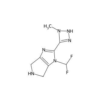 Cn1[nH]nc1-c1nc2c(n1C(F)F)CNC2